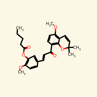 CCCCC(=O)Oc1cc(/C=C/C(=O)c2ccc(OC)c3c2OC(C)(C)C=C3)ccc1OC